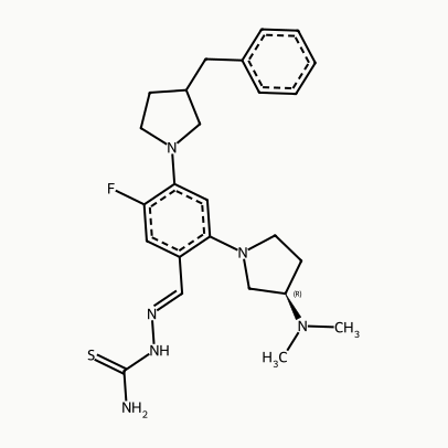 CN(C)[C@@H]1CCN(c2cc(N3CCC(Cc4ccccc4)C3)c(F)cc2C=NNC(N)=S)C1